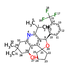 CC(C)c1nc2c(c3c1[C@@H](c1cccc(C(F)(F)F)c1)OC31CCCC1)[C@@H](O)CC(C)(C)C2